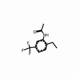 CCc1ccc(C(F)(F)F)cc1NC(C)=O